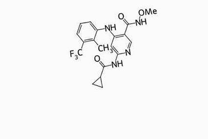 CONC(=O)c1cnc(NC(=O)C2CC2)cc1Nc1cccc(C(F)(F)F)c1C